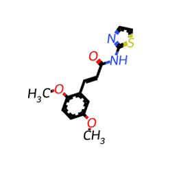 COc1ccc(OC)c(C=CC(=O)Nc2nccs2)c1